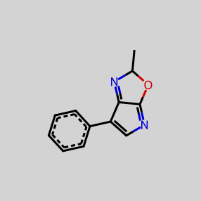 CC1N=C2C(c3ccccc3)=CN=C2O1